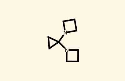 [CH]1CC1(N1CCC1)N1CCC1